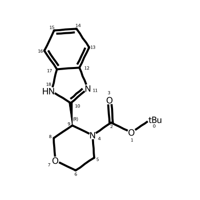 CC(C)(C)OC(=O)N1CCOC[C@H]1c1nc2ccccc2[nH]1